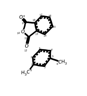 Cc1cccc(C)c1.O=C1OC(=O)c2ccccc21